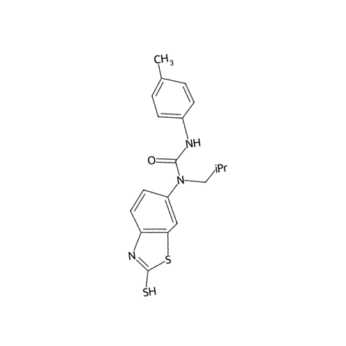 Cc1ccc(NC(=O)N(CC(C)C)c2ccc3nc(S)sc3c2)cc1